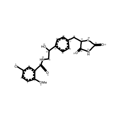 COc1ccc(Cl)cc1C(=O)NCC(O)c1ccc(CC2SC(=O)NC2=O)cc1